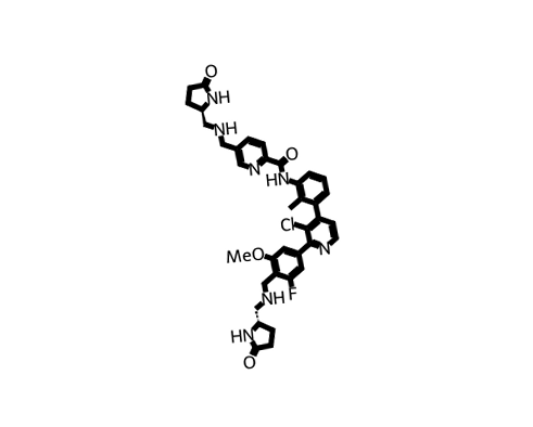 COc1cc(-c2nccc(-c3cccc(NC(=O)c4ccc(CNC[C@H]5CCC(=O)N5)cn4)c3C)c2Cl)cc(F)c1CNC[C@@H]1CCC(=O)N1